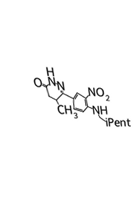 CCCC(C)CNc1ccc(C2=NNC(=O)CC2C)cc1[N+](=O)[O-]